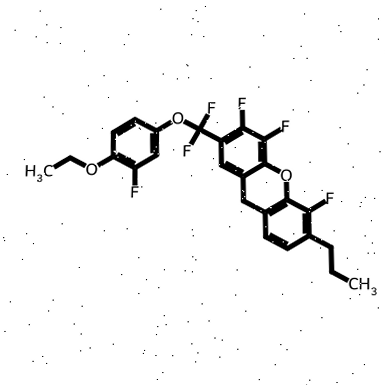 CCCc1ccc2c(c1F)Oc1c(cc(C(F)(F)Oc3ccc(OCC)c(F)c3)c(F)c1F)C2